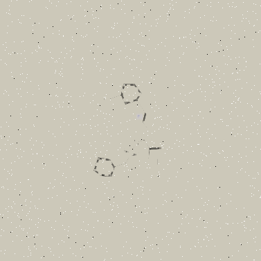 O=C(O)[C@@H](C/C=C/c1cccc(Cl)c1)NS(=O)(=O)Cc1ccccc1